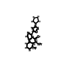 CC(C)n1c(=O)c2c(-c3nc(C4CCCC4)no3)ncn2c2cccc(F)c21